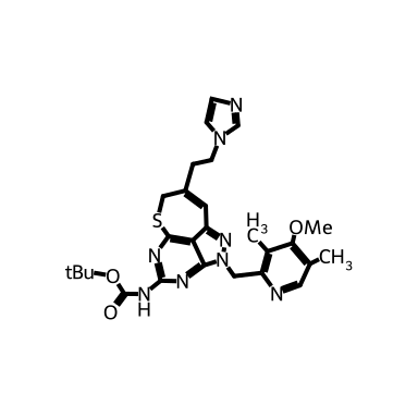 COc1c(C)cnc(Cn2nc3c4c(nc(NC(=O)OC(C)(C)C)nc42)SCC(CCn2ccnc2)=C3)c1C